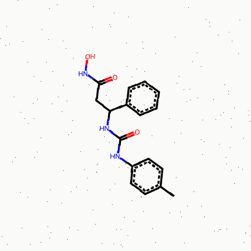 Cc1ccc(NC(=O)NC(CC(=O)NO)c2ccccc2)cc1